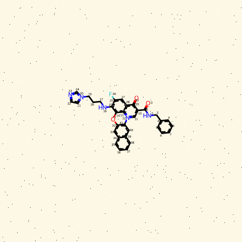 O=C(NCc1ccccc1)c1cn2c3c(c(NCCCn4ccnc4)c(F)cc3c1=O)Oc1cc3ccccc3cc1-2